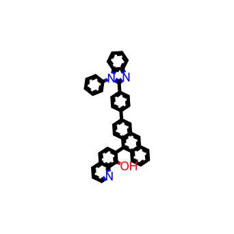 Oc1c(-c2c3ccccc3cc3cc(-c4ccc(-c5nc6ccccc6n5-c5ccccc5)cc4)ccc23)ccc2cccnc12